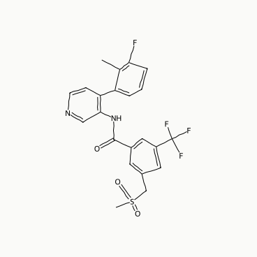 Cc1c(F)cccc1-c1ccncc1NC(=O)c1cc(CS(C)(=O)=O)cc(C(F)(F)F)c1